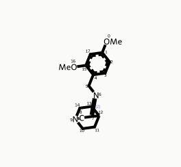 COc1ccc(C/N=C2\CN3CCC2CC3)c(OC)c1